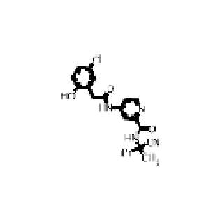 CC(C)C(C)(C#N)NC(=O)c1cc(NC(=O)Cc2cc(Cl)ccc2O)ccn1